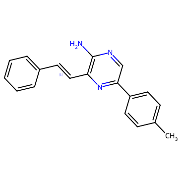 Cc1ccc(-c2cnc(N)c(/C=C/c3ccccc3)n2)cc1